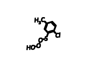 Cc1ccc(Cl)c(SOOO)c1